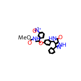 COC(=O)NCC(Oc1ccc(C2NC(=O)c3[nH]nc(-c4ccccc4)c32)cc1)c1cccc([N+](C)=O)c1